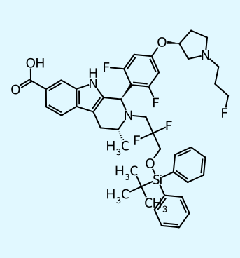 C[C@@H]1Cc2c([nH]c3cc(C(=O)O)ccc23)[C@@H](c2c(F)cc(O[C@H]3CCN(CCCF)C3)cc2F)N1CC(F)(F)CO[Si](c1ccccc1)(c1ccccc1)C(C)(C)C